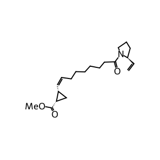 C=C[C@@H]1CCCN1C(=O)CCCCCC/C=C\[C@@H]1C[C@@H]1C(=O)OC